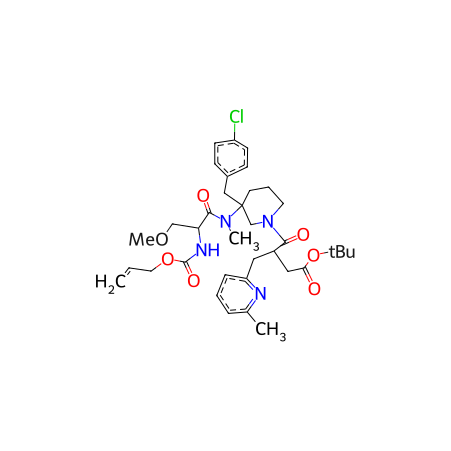 C=CCOC(=O)NC(COC)C(=O)N(C)C1(Cc2ccc(Cl)cc2)CCCN(C(=O)C(CC(=O)OC(C)(C)C)Cc2cccc(C)n2)C1